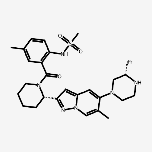 Cc1ccc(NS(C)(=O)=O)c(C(=O)N2CCCC[C@H]2c2cc3cc(N4CCN[C@@H](C(C)C)C4)c(C)cn3n2)c1